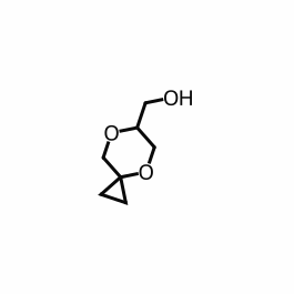 OCC1COC2(CC2)CO1